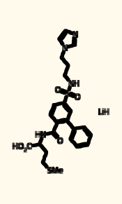 CSCCC(NC(=O)c1ccc(S(=O)(=O)NCCCn2ccnc2)cc1-c1ccccc1)C(=O)O.[LiH]